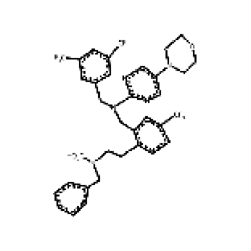 O=C(O)N(CCc1ccc(C(F)(F)F)cc1CN(Cc1cc(C(F)(F)F)cc(C(F)(F)F)c1)c1ncc(N2CCOCC2)cn1)Cc1ccccc1